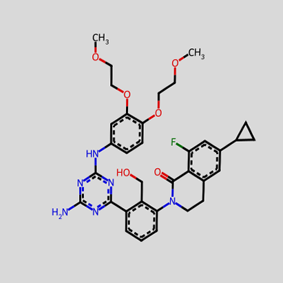 COCCOc1ccc(Nc2nc(N)nc(-c3cccc(N4CCc5cc(C6CC6)cc(F)c5C4=O)c3CO)n2)cc1OCCOC